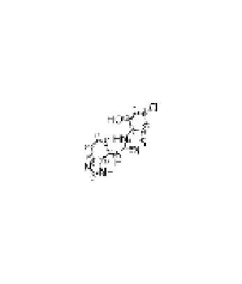 Oc1cc(Cl)cc2c1NC(Nc1cccc3nc[nH]c13)=NS2